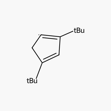 CC(C)(C)C1=[C]CC(C(C)(C)C)=C1